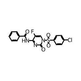 O=C(Nc1nc(=O)n(S(=O)(=O)c2ccc(Cl)cc2)cc1F)c1ccccc1